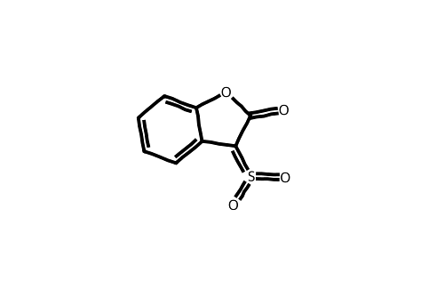 O=C1Oc2ccccc2C1=S(=O)=O